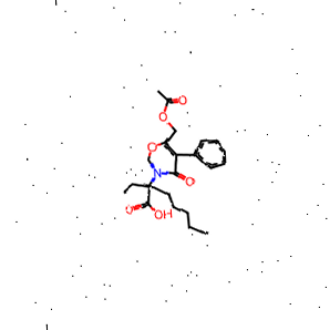 CCCCCC(CC)(C(=O)O)N1COC(COC(C)=O)=C(c2ccccc2)C1=O